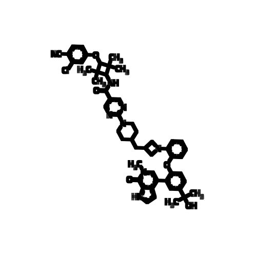 Cn1cc(-c2cc(C(C)(C)O)ccc2Oc2ccccc2N2CC(CC3CCN(c4ncc(C(=O)NC5C(C)(C)C(Oc6ccc(C#N)c(Cl)c6)C5(C)C)cn4)CC3)C2)c2cc[nH]c2c1=O